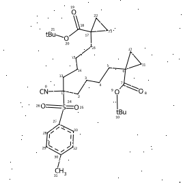 [C-]#[N+]C(CCCCC1(C(=O)OC(C)(C)C)CC1)(CCCCC1(C(=O)OC(C)(C)C)CC1)S(=O)(=O)c1ccc(C)cc1